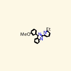 CCc1cccc(-c2nc(-c3cccc(OC)c3)c3ccccc3n2)n1